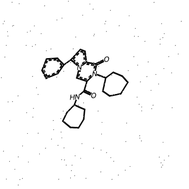 O=C(NC1CCCCCC1)c1cn2c(-c3ccccc3)ccc2c(=O)n1C1CCCCCC1